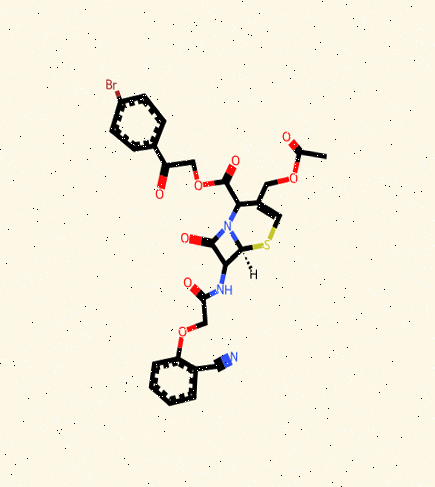 CC(=O)OCC1=CS[C@H]2C(NC(=O)COc3ccccc3C#N)C(=O)N2C1C(=O)OCC(=O)c1ccc(Br)cc1